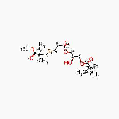 CCCCOC(=O)C(C)(C)CSCCC(=O)OCC(O)COC(=O)C(C)(C)CC